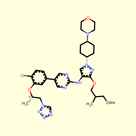 COCC(C)COc1nn([C@H]2CC[C@H](N3CCOCC3)CC2)cc1Nc1ncc(-c2ccc(Cl)c(O[C@@H](C)Cn3cnnn3)c2)cn1